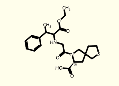 CCOC(=O)C(NCC(=O)N1CC2(CCSC2)C[C@H]1C(=O)O)C(C)c1ccccc1